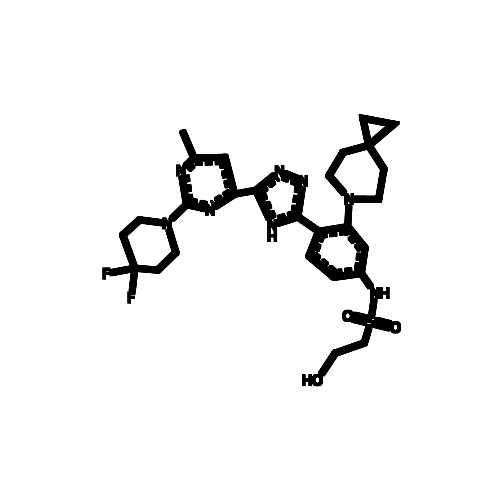 Cc1cc(-c2nnc(-c3ccc(NS(=O)(=O)CCO)cc3N3CCC4(CC3)CC4)[nH]2)nc(N2CCC(F)(F)CC2)n1